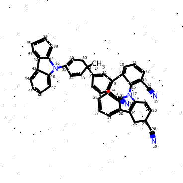 CC1(c2ccc(C#N)c(-c3cccc(C#N)c3-n3c4c(c5ccccc53)CC(C#N)C=C4)c2)C=CC(n2c3ccccc3c3ccccc32)=CC1